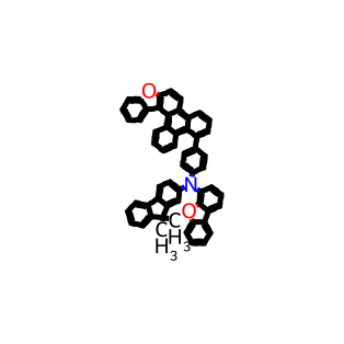 CC1(C)c2ccccc2-c2ccc(N(c3ccc(-c4cccc5c6ccc7oc8ccccc8c7c6c6ccccc6c45)cc3)c3cccc4c3oc3ccccc34)cc21